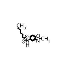 CCCCCCS(=O)(=O)Nc1ccc2oc(C)nc2c1